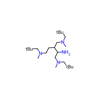 CN(CCC(CN(C)CC(C)(C)C)C(N)CN(C)CC(C)(C)C)CC(C)(C)C